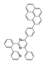 c1ccc(-c2cc(-c3ccc(-c4ccc5ccc6cccc7ccc4c5c67)cc3)nc(-c3ccccc3-c3cccnc3)n2)cc1